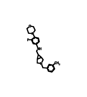 Cc1cccc(CN2CC3C(CNc4ccc(N5CCOCC5)c(F)c4)C3C2)c1